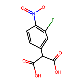 O=C(O)C(C(=O)O)c1ccc([N+](=O)[O-])c(F)c1